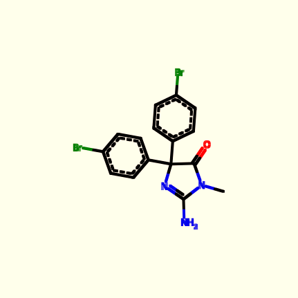 CN1C(=O)C(c2ccc(Br)cc2)(c2ccc(Br)cc2)N=C1N